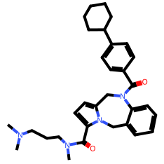 CN(C)CCCN(C)C(=O)c1ccc2n1Cc1ccccc1N(C(=O)c1ccc(C3CCCCC3)cc1)C2